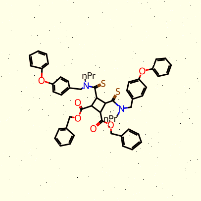 CCCN(Cc1ccc(Oc2ccccc2)cc1)C(=S)C1C(C(=O)OCc2ccccc2)C(C(=O)OCc2ccccc2)C1C(=S)N(CCC)Cc1ccc(Oc2ccccc2)cc1